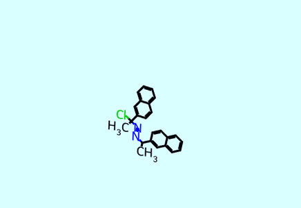 CC(N=NC(C)(Cl)c1ccc2ccccc2c1)c1ccc2ccccc2c1